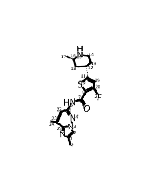 Cc1cn2nc(NC(=O)c3sc([C@H]4CCN[C@H](C)C4)cc3F)cc(C)c2n1